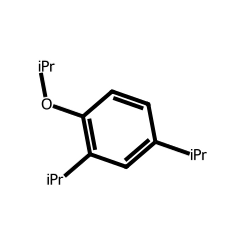 CC(C)Oc1ccc(C(C)C)cc1C(C)C